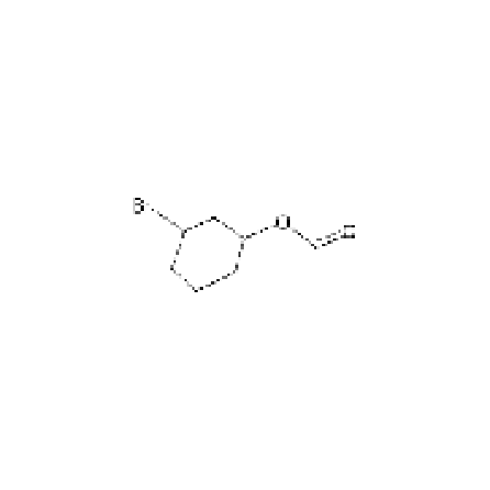 O=COC1CCCC(Br)C1